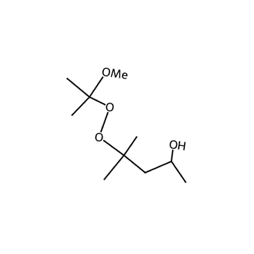 COC(C)(C)OOC(C)(C)CC(C)O